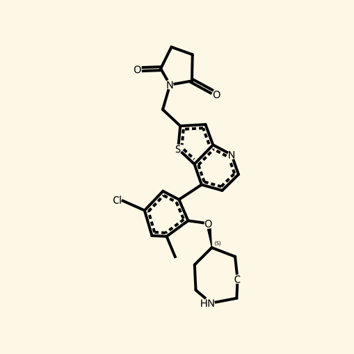 Cc1cc(Cl)cc(-c2ccnc3cc(CN4C(=O)CCC4=O)sc23)c1O[C@H]1CCCNCC1